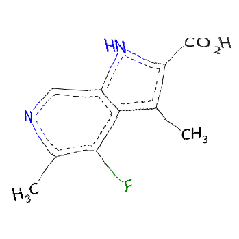 Cc1ncc2[nH]c(C(=O)O)c(C)c2c1F